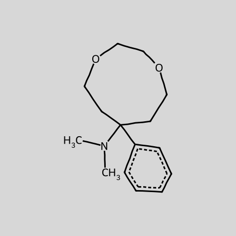 CN(C)C1(c2ccccc2)CCOCCOCC1